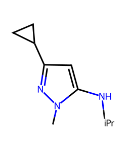 CC(C)Nc1cc(C2CC2)nn1C